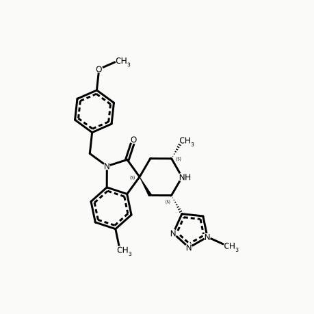 COc1ccc(CN2C(=O)[C@@]3(C[C@@H](c4cn(C)nn4)N[C@@H](C)C3)c3cc(C)ccc32)cc1